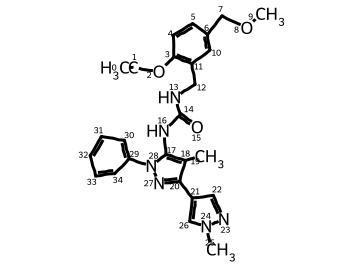 CCOc1ccc(COC)cc1CNC(=O)Nc1c(C)c(-c2cnn(C)c2)nn1-c1ccccc1